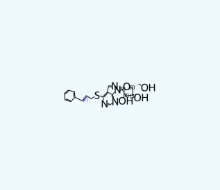 OC[C@H]1O[C@@H](n2ncc3c(SC/C=C/c4ccccc4)ncnc32)[C@H](O)[C@@H]1O